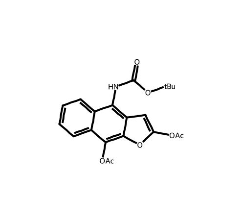 CC(=O)Oc1cc2c(NC(=O)OC(C)(C)C)c3ccccc3c(OC(C)=O)c2o1